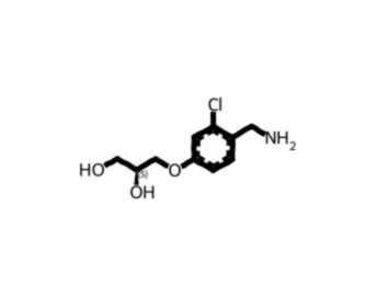 NCc1ccc(OC[C@@H](O)CO)cc1Cl